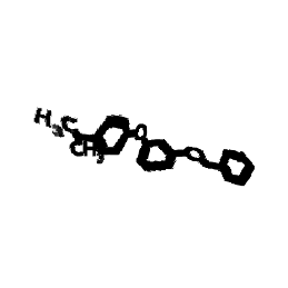 CC(C)c1ccc(Oc2cccc(OCc3ccccc3)c2)cc1